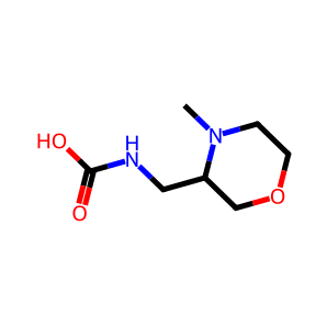 CN1CCOCC1CNC(=O)O